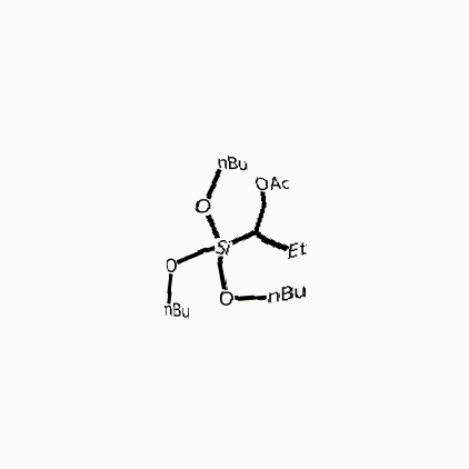 CCCCO[Si](OCCCC)(OCCCC)C(CC)OC(C)=O